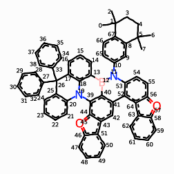 CC1(C)CCC(C)(C)c2cc(N3B4c5cccc6c5N(c5ccccc5C6(c5ccccc5)c5ccccc5)c5c4c(cc4c5oc5ccccc54)-c4c3ccc3oc5ccccc5c43)ccc21